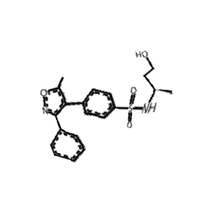 Cc1onc(-c2ccccc2)c1-c1ccc(S(=O)(=O)N[C@H](C)CCO)cc1